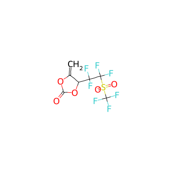 C=C1OC(=O)OC1C(F)(F)C(F)(F)S(=O)(=O)C(F)(F)F